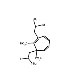 CCCCC(CC)CC1=C(C(=O)O)C(CC(CC)CCCC)(C(=O)O)C=CC=C1